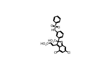 O=C(O)C=CC1=c2c(Cl)cc(Cl)cc2=NC1(C(=O)O)c1cccc(NS(=O)(=O)c2ccccc2)c1